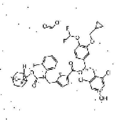 O=C(O[C@@H](Cc1c(Cl)c[n+](O)cc1Cl)c1ccc(OC(F)F)c(OCC2CC2)c1)c1ccc(CN(C(=O)O[C@H]2CN3CCC2CC3)c2ccccc2F)s1.O=C[O-]